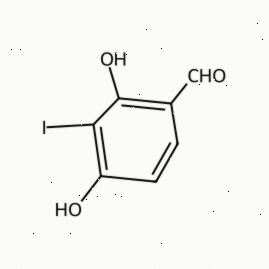 O=Cc1ccc(O)c(I)c1O